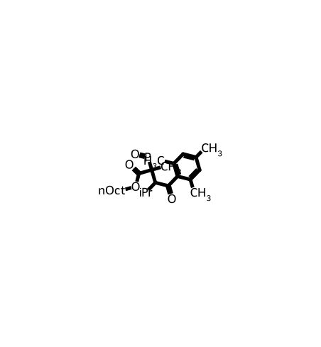 CCCCCCCCOC(=O)C(C)(P=O)C(C(=O)c1c(C)cc(C)cc1C)C(C)C